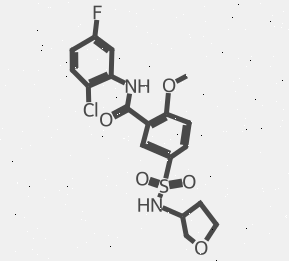 COc1ccc(S(=O)(=O)NC2CCOC2)cc1C(=O)Nc1cc(F)ccc1Cl